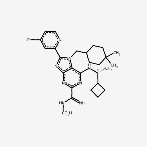 CC(C)c1ccnc(-c2nc3nc(C(=N)NC(=O)O)nc(N[C@H](C)C4CCC4)c3n2CC2CCC(C)(C)CC2)c1